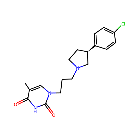 Cc1cn(CCCN2CC[C@@H](c3ccc(Cl)cc3)C2)c(=O)[nH]c1=O